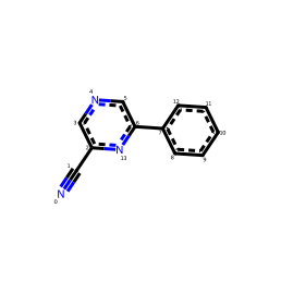 N#Cc1cncc(-c2ccccc2)n1